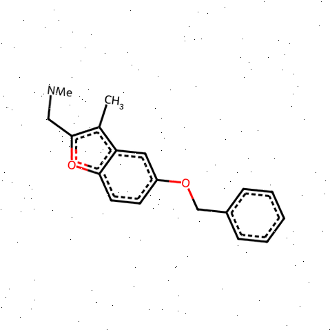 CNCc1oc2ccc(OCc3ccccc3)cc2c1C